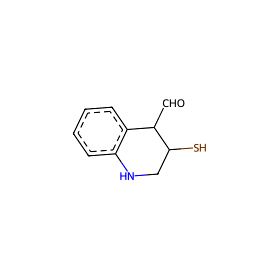 O=CC1c2ccccc2NCC1S